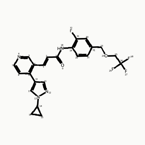 O=C(C=Cc1cnccc1-c1cnn(C2CC2)c1)Nc1ccc(COCC(F)(F)F)cc1F